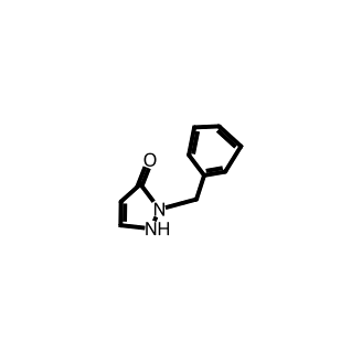 O=c1cc[nH]n1Cc1ccccc1